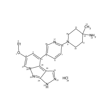 CCOc1cc(-c2ccc(N3CCC(C)(N)CC3)nc2)c2c3cn[nH]c3nn2c1.Cl